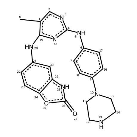 Cc1cnc(Nc2ccc(N3CCNCC3)cc2)nc1Nc1ccc2oc(=O)[nH]c2c1